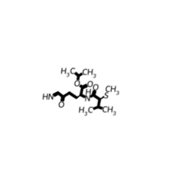 CS[C@H](C(=O)N[C@@H](CCC(=O)C=N)C(=O)OC(C)C)C(C)C